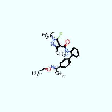 CCO/N=C(\C)c1ccc(-c2ccccc2NC(=O)c2c(C)nn(C)c2F)cc1